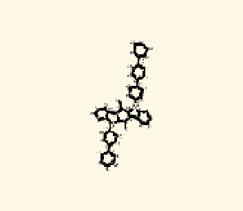 Cc1c2c3ccccc3n(-c3ccc(-c4ccc(-c5ccccc5)cc4)cc3)c2c(C)c2c3ccccc3n(-c3ccc(-c4ccccc4)cc3)c12